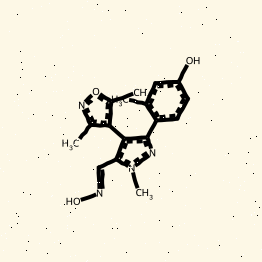 Cc1cc(O)ccc1-c1nn(C)c(/C=N/O)c1-c1c(C)noc1C